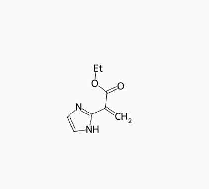 C=C(C(=O)OCC)c1ncc[nH]1